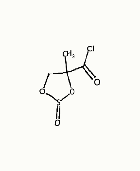 CC1(C(=O)Cl)COS(=O)O1